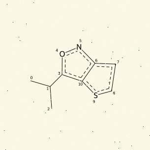 CC(C)c1onc2ccsc12